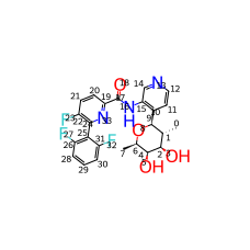 C[C@@H]1[C@@H](O)[C@@H](O)[C@@H](C)O[C@H]1c1ccncc1NC(=O)c1ccc(F)c(-c2c(F)cccc2F)n1